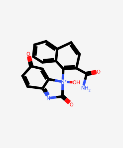 NC(=O)c1ccc2ccccc2c1[N+]1(O)C(=O)N=C2C=CC(=O)C=C21